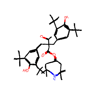 CC(=O)C(Cc1cc(C(C)(C)C)c(O)c(C(C)(C)C)c1)(Cc1cc(C(C)(C)C)c(O)c(C(C)(C)C)c1)C(=O)OC1CC(C)(C)NC(C)(C)C1